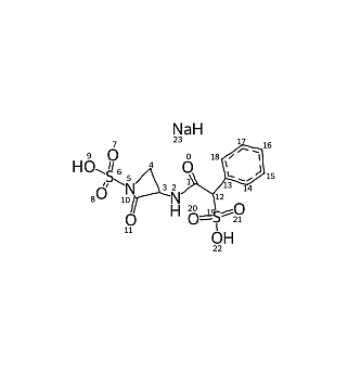 O=C(NC1CN(S(=O)(=O)O)C1=O)C(c1ccccc1)S(=O)(=O)O.[NaH]